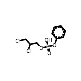 O=P(O)(OCC(Cl)CCl)Oc1ccccc1